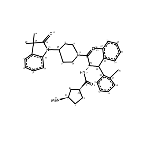 CN[C@@H]1CC[C@H](C(=O)N[C@H](C(=O)N2CCC(N3C(=O)C(C)(C)c4ccccc43)CC2)C(c2ccccc2C)c2ccccc2Cl)C1